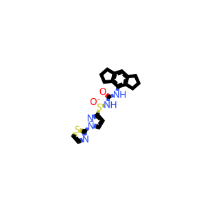 O=C(Nc1c2c(cc3c1CCC3)CCC2)N[S+]([O-])c1ccn(-c2nccs2)n1